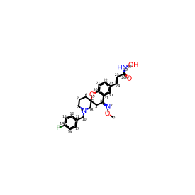 CON=C1CC2(CCCN(Cc3ccc(F)cc3)C2)Oc2ccc(/C=C/C(=O)NO)cc21